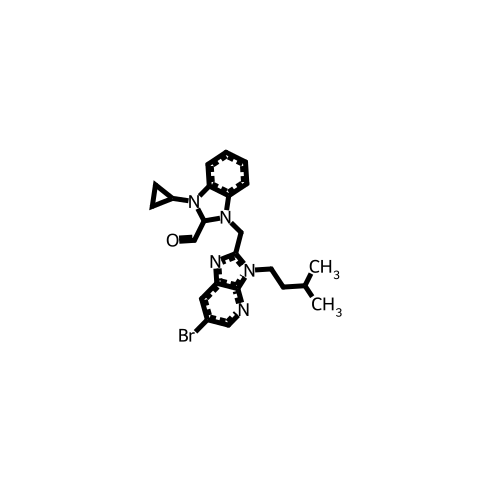 CC(C)CCn1c(CN2c3ccccc3N(C3CC3)C2C=O)nc2cc(Br)cnc21